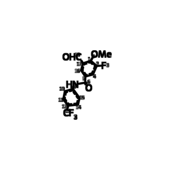 COc1c(F)cc(C(=O)Nc2ccc(C(F)(F)F)cc2)cc1C=O